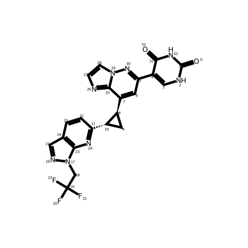 O=c1[nH]cc(-c2cc([C@H]3C[C@@H]3c3ccc4cnn(CC(F)(F)F)c4n3)c3nccn3n2)c(=O)[nH]1